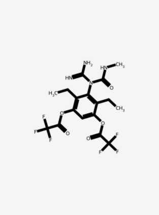 CCc1c(OC(=O)C(F)(F)F)cc(OC(=O)C(F)(F)F)c(CC)c1N(C(=N)N)C(=O)NC